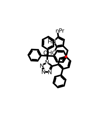 CCCc1cc(Cc2ccc(-c3ccccc3)c(-c3nnnn3C(c3ccccc3)(c3ccccc3)c3ccccc3)c2)c(C=O)[nH]1